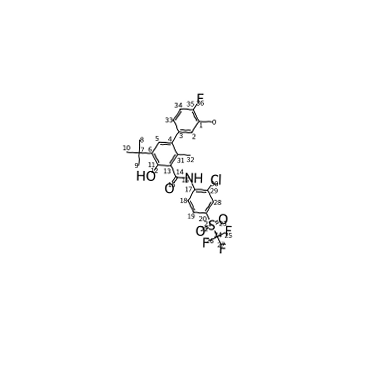 Cc1cc(-c2cc(C(C)(C)C)c(O)c(C(=O)Nc3ccc(S(=O)(=O)C(F)(F)F)cc3Cl)c2C)ccc1F